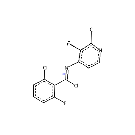 Fc1cccc(Cl)c1/C(Cl)=N/c1ccnc(Cl)c1F